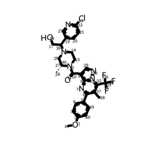 COc1ccc(-c2nc3c(C(=O)N4CCN(C(CO)c5ccc(Cl)nc5)C[C@H]4C)cnn3c(C(F)(F)F)c2C)cc1